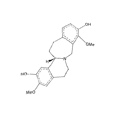 COc1cc2c(cc1O)[C@@H]1CCc3ccc(O)c(OC)c3CN1CC2